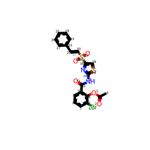 CC(=O)Oc1c(Br)cccc1C(=O)Nc1nc(S(=O)(=O)/C=C/c2ccccc2)cs1